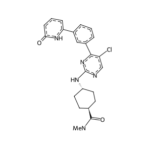 CNC(=O)[C@H]1CC[C@H](Nc2ncc(Cl)c(-c3cccc(-c4cccc(=O)[nH]4)c3)n2)CC1